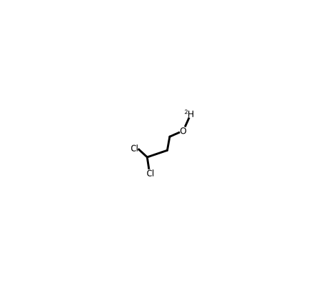 [2H]OCCC(Cl)Cl